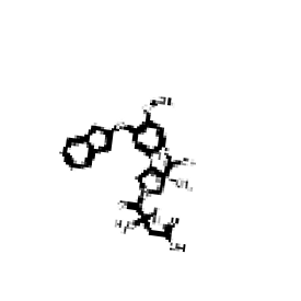 COc1ccc([C@@H]2CN(C(=O)C(C)(C)CC(=O)O)C[C@@]2(C)[C@@H](C)O)cc1OC1Cc2ccccc2C1